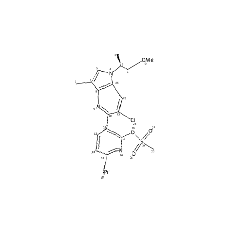 COC[C@H](C)n1cc(C)c2nc(-c3ccc(C(C)C)nc3OS(C)(=O)=O)c(Cl)cc21